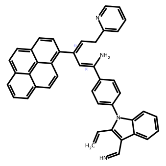 C=Cc1c(C=N)c2ccccc2n1-c1ccc(/C(N)=C/C(=C\Cc2ccccn2)c2ccc3ccc4cccc5ccc2c3c45)cc1